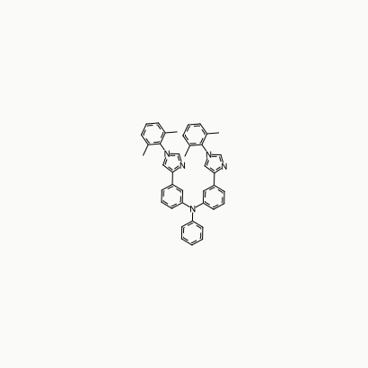 Cc1cccc(C)c1-n1cnc(-c2cccc(N(c3ccccc3)c3cccc(-c4cn(-c5c(C)cccc5C)cn4)c3)c2)c1